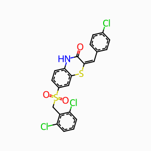 O=C1Nc2ccc(S(=O)(=O)Cc3c(Cl)cccc3Cl)cc2S/C1=C/c1ccc(Cl)cc1